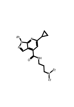 CCN(CC)CCCNC(=O)c1cc(C2CC2)nc2c1cnn2C(C)C